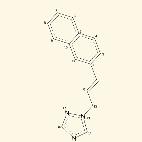 C(=Cc1ccc2ccccc2c1)Cn1cncn1